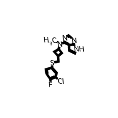 CN(c1ncnc2[nH]ccc12)C1CC(CSc2ccc(F)c(Cl)c2)C1